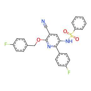 N#Cc1cc(NS(=O)(=O)c2ccccc2)c(-c2ccc(F)cc2)nc1OCc1ccc(F)cc1